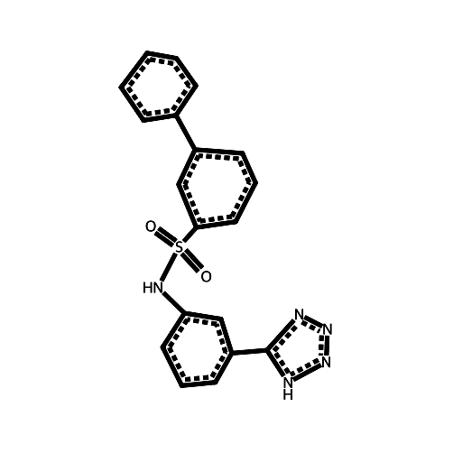 O=S(=O)(Nc1cccc(-c2nnn[nH]2)c1)c1cccc(-c2ccccc2)c1